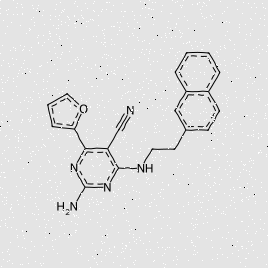 N#Cc1c(NCCc2ccc3ccccc3c2)nc(N)nc1-c1ccco1